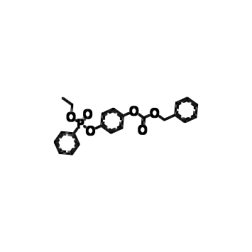 CCOP(=O)(Oc1ccc(OC(=O)OCc2ccccc2)cc1)c1ccccc1